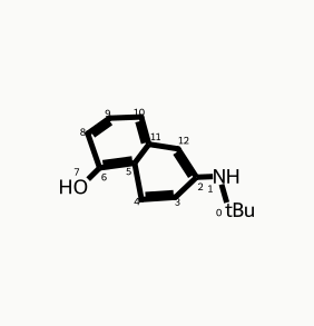 CC(C)(C)Nc1ccc2c(O)cccc2c1